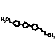 CCCCCC1CC=C(c2ccc([C@H]3CC[C@H](CCC)CC3)cc2)CC1